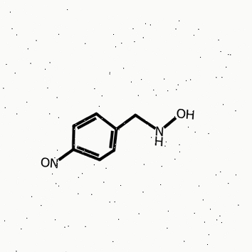 O=Nc1ccc(CNO)cc1